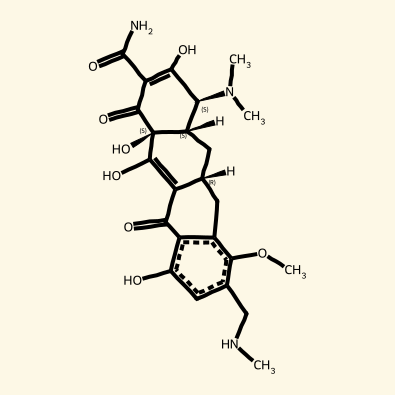 CNCc1cc(O)c2c(c1OC)C[C@H]1C[C@H]3[C@H](N(C)C)C(O)=C(C(N)=O)C(=O)[C@@]3(O)C(O)=C1C2=O